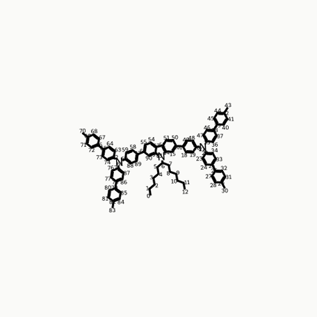 CCCCCCC(CCCCCC)n1c2cc(-c3ccc(N(c4ccc(-c5ccc(C)cc5)cc4)c4ccc(-c5ccc(C)cc5)cc4)cc3)ccc2c2ccc(-c3ccc(N(c4ccc(-c5ccc(C)cc5)cc4)c4ccc(-c5ccc(C)cc5)cc4)cc3)cc21